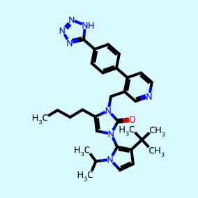 CCCCc1cn(-c2c(C(C)(C)C)ccn2C(C)C)c(=O)n1Cc1cnccc1-c1ccc(-c2nnn[nH]2)cc1